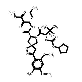 CCC[C@H](NC(=O)[C@@H]1C[C@]2(CC(c3cc(C)c(OC)cc3OC)=NO2)CN1C(=O)[C@@H](NC(=O)OC1CCCC1)C(C)(C)C)C(=O)C(=O)NC